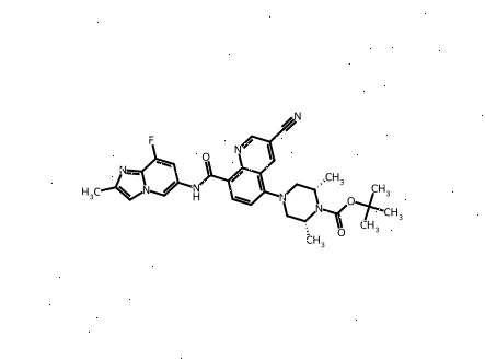 Cc1cn2cc(NC(=O)c3ccc(N4C[C@@H](C)N(C(=O)OC(C)(C)C)[C@@H](C)C4)c4cc(C#N)cnc34)cc(F)c2n1